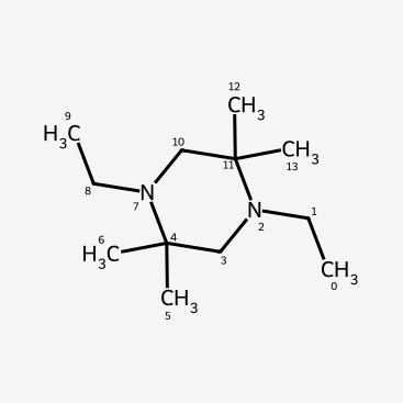 CCN1CC(C)(C)N(CC)CC1(C)C